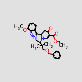 CCOC(=O)C1=CN2C(CC1=O)c1c3cccc(OC)c3nn1CC2C(C)(C)COCc1ccccc1